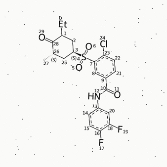 CCC1C[C@@H](S(=O)(=O)c2cc(C(=O)Nc3ccc(F)c(F)c3)ccc2Cl)C[C@H](C)C1=O